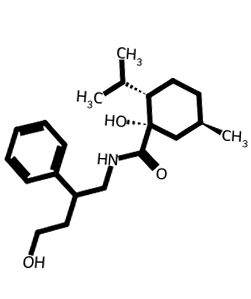 CC(C)[C@@H]1CC[C@@H](C)C[C@@]1(O)C(=O)NCC(CCO)c1ccccc1